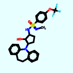 CN=S(=O)(NC1CCC(N2c3ccccc3CCc3ccccc32)C1O)c1ccc(OC(F)(F)F)cc1